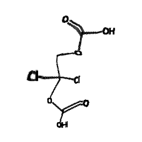 O=C(O)OCC(Cl)(Cl)OC(=O)O